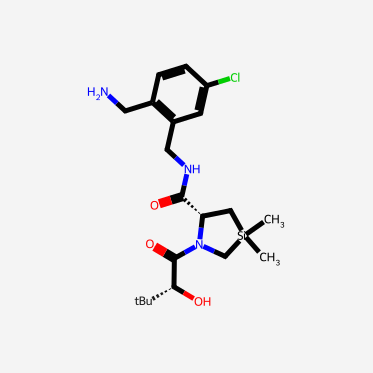 CC(C)(C)[C@@H](O)C(=O)N1C[Si](C)(C)C[C@H]1C(=O)NCc1cc(Cl)ccc1CN